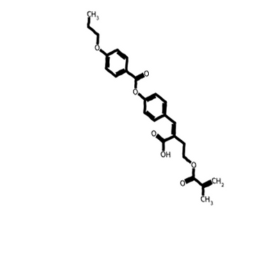 C=C(C)C(=O)OCCC(=Cc1ccc(OC(=O)c2ccc(OCCC)cc2)cc1)C(=O)O